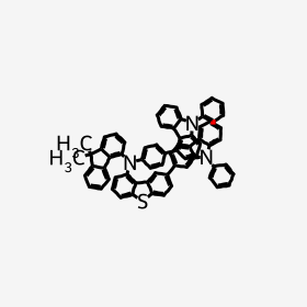 CC1(C)c2ccccc2-c2c(N(c3ccc(-c4cccc5c4c4ccccc4n5-c4ccccc4)cc3)c3cccc4sc5ccc(-c6ccc7c8ccccc8n(-c8ccccc8)c7c6)cc5c34)cccc21